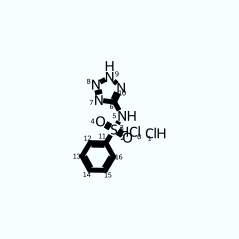 Cl.Cl.O=S(=O)(Nc1nn[nH]n1)c1ccccc1